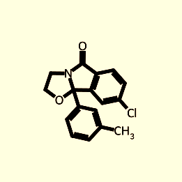 Cc1cccc(C23OCCN2C(=O)c2ccc(Cl)cc23)c1